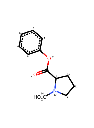 O=C(Oc1ccccc1)C1CCCN1C(=O)O